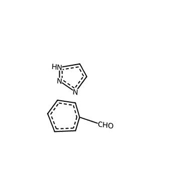 O=Cc1ccccc1.c1c[nH]nn1